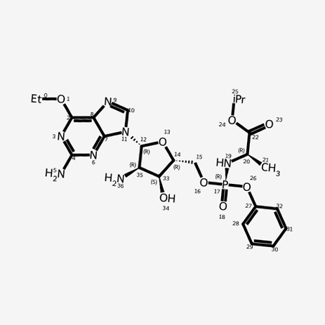 CCOc1nc(N)nc2c1ncn2[C@@H]1O[C@H](CO[P@](=O)(N[C@H](C)C(=O)OC(C)C)Oc2ccccc2)[C@@H](O)[C@H]1N